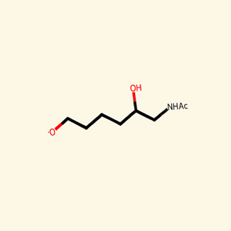 CC(=O)NCC(O)CCCC[O]